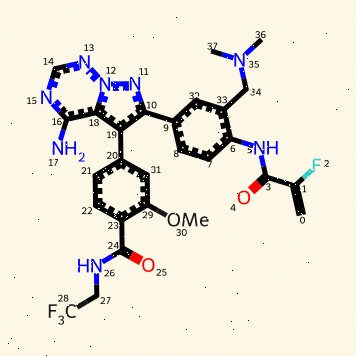 C=C(F)C(=O)Nc1ccc(-c2nn3ncnc(N)c3c2-c2ccc(C(=O)NCC(F)(F)F)c(OC)c2)cc1CN(C)C